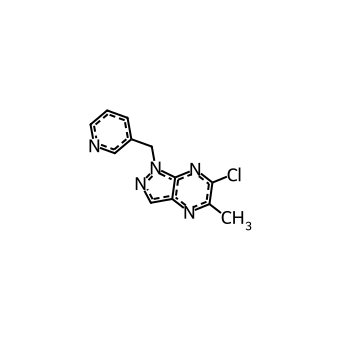 Cc1nc2cnn(Cc3cccnc3)c2nc1Cl